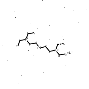 CCP(CC)CC[N-]CCP(CC)CC.[Li+]